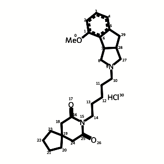 COc1cccc2c1C1CN(CCCCCN3C(=O)CC4(CCCC4)CC3=O)CC1C2.Cl